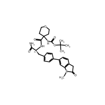 CN1C(=O)Cc2ccc(-c3ccc(C[C@H](NC(=O)C4(NC(=O)OC(C)(C)C)CCOCC4)C(N)=O)cc3)cc21